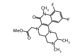 COC(=O)CN1CC2CN(C)C(C)CN2c2c1c(=O)n(C)c1c(F)cc(F)cc21